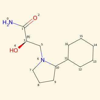 NC(=O)[C@H](O)CN1CCCC1C1CCCCC1